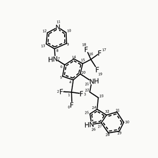 FC(F)(F)c1cc(Nc2ccncc2)cc(C(F)(F)F)c1NCCc1c[nH]c2ccccc12